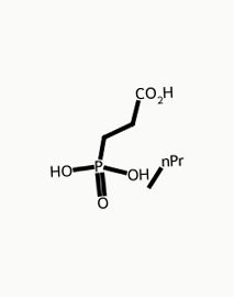 CCCC.O=C(O)CCP(=O)(O)O